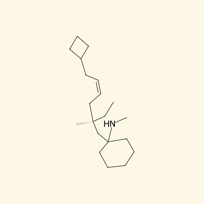 CC[C@](C)(C/C=C\CC1CCC1)CC1(NC)CCCCC1